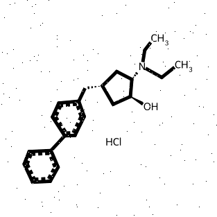 CCN(CC)[C@H]1C[C@@H](Cc2ccc(-c3ccccc3)cc2)C[C@@H]1O.Cl